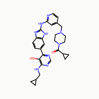 O=C(C1CC1)N1CCN(Cc2ccnc(Nc3nc4ccc(-c5ncnc(NCC6CC6)c5O)cc4[nH]3)c2)CC1